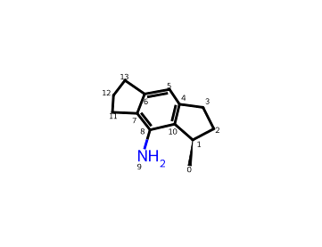 C[C@@H]1CCc2cc3c(c(N)c21)CCC3